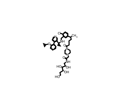 CC(CCCC(=O)N1CCN(CC(=O)NC[C@H](O)[C@@H](O)[C@H](O)CCO)CC1)c1ccc(Cl)c(CNC2(c3cnccc3-c3ccccc3OC3CC3)CC2)c1